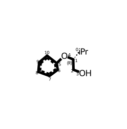 CC(C)[C@H](CO)Oc1ccccc1